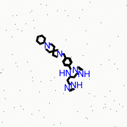 c1c[nH]c(CC(Cc2ncc[nH]2)NCc2ccc(CN3CCC4(CCN(C5CCCCC5)CC4)C3)cc2)n1